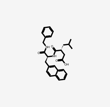 CC(C)C[C@H](CC(=O)O)C(=O)N[C@@H](Cc1ccc2ccccc2c1)C(=O)NCc1ccccc1